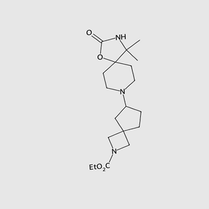 CCOC(=O)N1CC2(CCC(N3CCC4(CC3)OC(=O)NC4(C)C)C2)C1